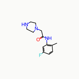 Cc1ccc(F)cc1NC(=O)CN1CCNCC1